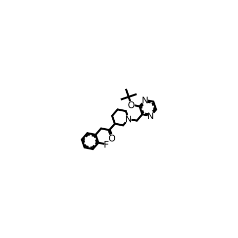 CC(C)(C)Oc1nccnc1CN1CCCC(C(=O)Cc2ccccc2F)C1